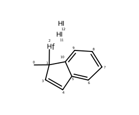 C[C]1([Hf])C=Cc2ccccc21.I.I